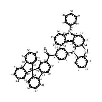 O=C(c1ccc(N2c3ccccc3Oc3ccc4c(c32)c2ccccc2n4-c2ccccc2)cc1)c1ccc2c(c1)C1(c3ccccc3-c3ccccc31)c1ccccc1-2